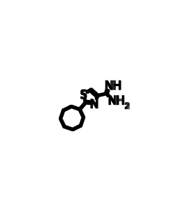 N=C(N)c1csc(C2CCCCCCC2)n1